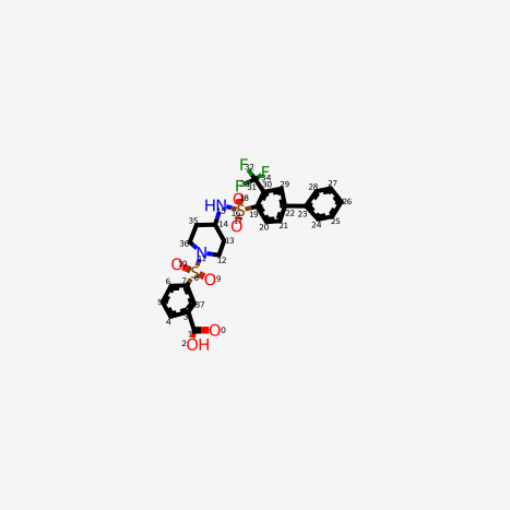 O=C(O)c1cccc(S(=O)(=O)N2CCC(NS(=O)(=O)c3ccc(-c4ccccc4)cc3C(F)(F)F)CC2)c1